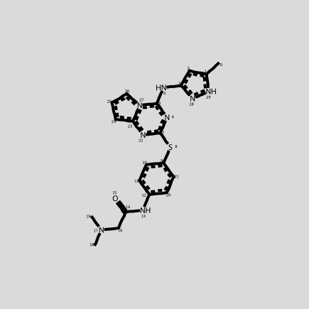 Cc1cc(Nc2nc(Sc3ccc(NC(=O)CN(C)C)cc3)nc3cccn23)n[nH]1